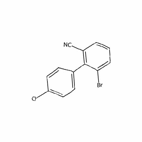 N#Cc1cccc(Br)c1-c1ccc(Cl)cc1